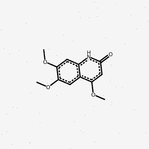 COc1cc2[nH]c(=O)cc(OC)c2cc1OC